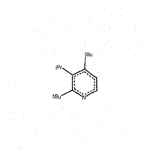 CC(C)c1c(C(C)(C)C)ccnc1C(C)(C)C